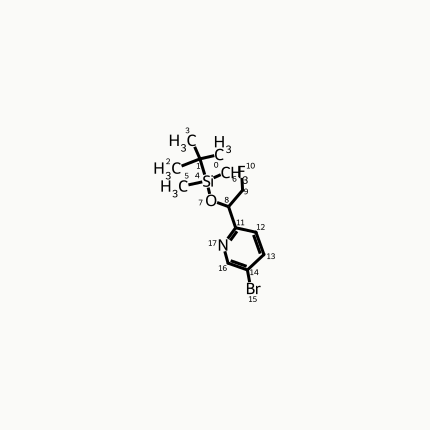 CC(C)(C)[Si](C)(C)OC(CF)c1ccc(Br)cn1